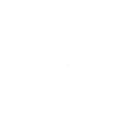 C=C[Si]1(C)CC(C)(C)O[Si](C)(C=C)[Si]1(C)C